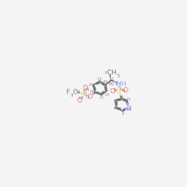 C[C@@H](NS(=O)(=O)c1cccnc1)c1ccc(OS(=O)(=O)C(F)(F)F)cc1